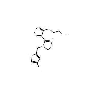 COCCNc1nonc1C1=NOCN1Cc1cc(Cl)co1